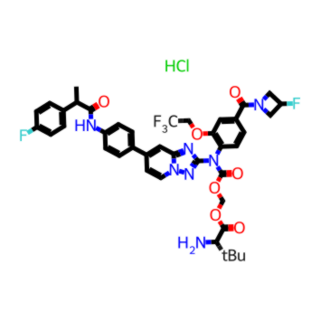 CC(C(=O)Nc1ccc(-c2ccn3nc(N(C(=O)OCOC(=O)C(N)C(C)(C)C)c4ccc(C(=O)N5CC(F)C5)cc4OCC(F)(F)F)nc3c2)cc1)c1ccc(F)cc1.Cl